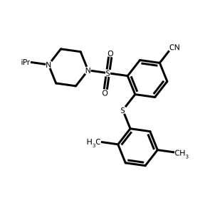 Cc1ccc(C)c(Sc2ccc(C#N)cc2S(=O)(=O)N2CCN(C(C)C)CC2)c1